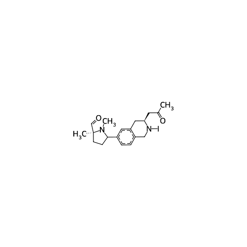 CC(=O)C[C@@H]1Cc2cc(C3CC[C@@](C)(C=O)N3C)ccc2CN1I